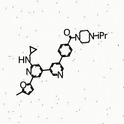 Cc1ccc(-c2cc(-c3cncc(-c4ccc(C(=O)N5CCN(C(C)C)CC5)cc4)c3)cc(NC3CC3)n2)o1